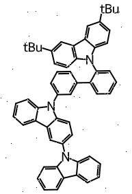 CC(C)(C)c1ccc2c(c1)c1cc(C(C)(C)C)ccc1n2-c1ccccc1-c1cccc(-n2c3ccccc3c3cc(-n4c5ccccc5c5ccccc54)ccc32)c1